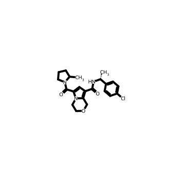 CC1CCCN1C(=O)c1cc(C(=O)N[C@H](C)c2ccc(Cl)cc2)c2n1CCOC2